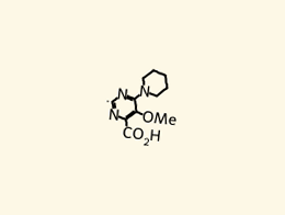 COc1c(C(=O)O)n[c]nc1N1CCCCC1